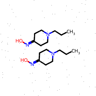 CCCN1CCC(=NO)CC1.CCCN1CCC(=NO)CC1